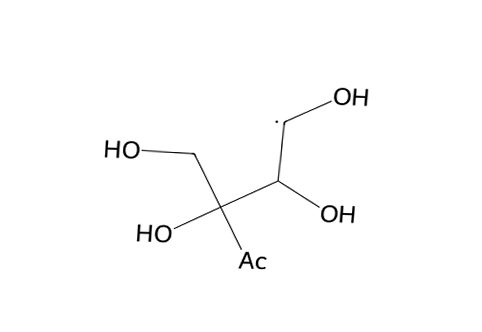 CC(=O)C(O)(CO)C(O)[CH]O